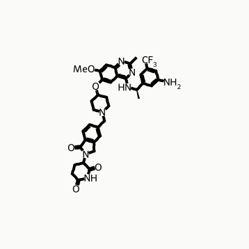 COc1cc2nc(C)nc(N[C@H](C)c3cc(N)cc(C(F)(F)F)c3)c2cc1OC1CCN(Cc2ccc3c(c2)CN(C2CCC(=O)NC2=O)C3=O)CC1